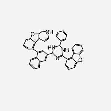 C1=Cc2c(oc3cccc(-c4cc(C5N=C(c6cccc7oc8ccccc8c67)NC(c6ccccc6)N5)cc5ccccc45)c23)CN1